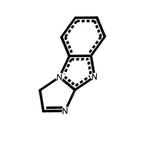 C1=Nc2nc3ccccc3n2C1